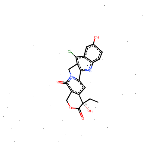 CC[C@@]1(O)C(=O)OCc2c1cc1n(c2=O)Cc2c-1nc1ccc(O)cc1c2Cl